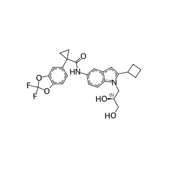 O=C(Nc1ccc2c(c1)cc(C1CCC1)n2C[C@H](O)CO)C1(c2ccc3c(c2)OC(F)(F)O3)CC1